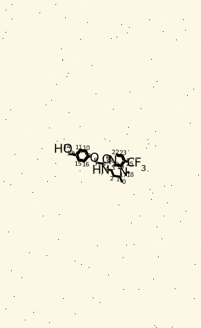 CC(CCNC(=O)COc1ccc(CO)cc1)N(C)c1cnccc1C(F)(F)F